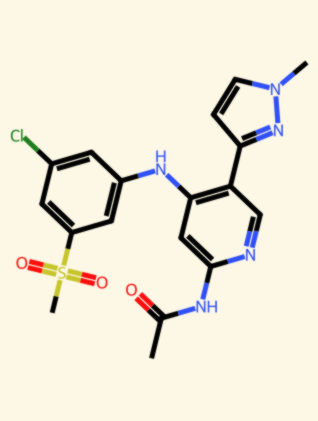 CC(=O)Nc1cc(Nc2cc(Cl)cc(S(C)(=O)=O)c2)c(-c2ccn(C)n2)cn1